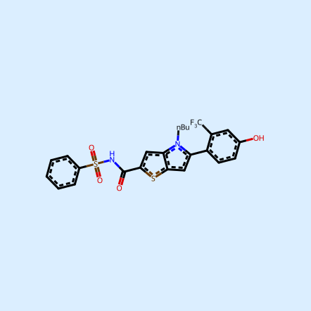 CCCCn1c(-c2ccc(O)cc2C(F)(F)F)cc2sc(C(=O)NS(=O)(=O)c3ccccc3)cc21